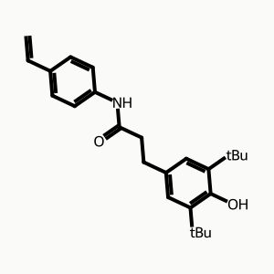 C=Cc1ccc(NC(=O)CCc2cc(C(C)(C)C)c(O)c(C(C)(C)C)c2)cc1